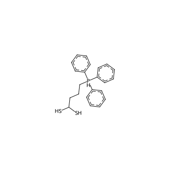 SC(S)CCC[PH](c1ccccc1)(c1ccccc1)c1ccccc1